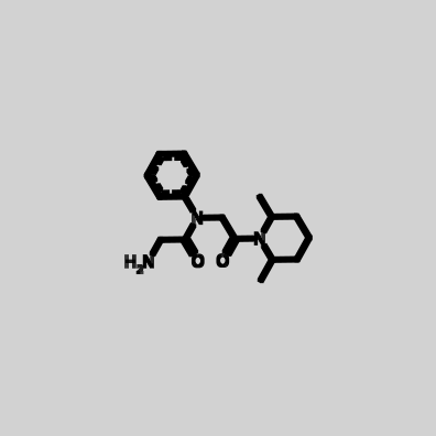 CC1CCCC(C)N1C(=O)CN(C(=O)CN)c1ccccc1